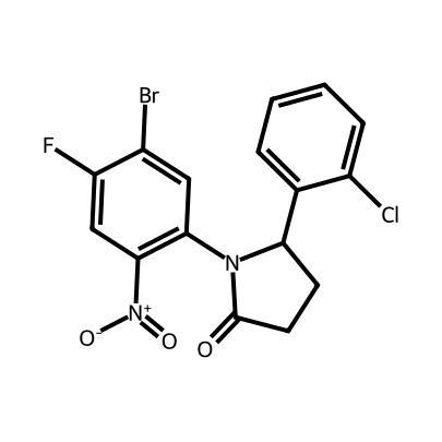 O=C1CCC(c2ccccc2Cl)N1c1cc(Br)c(F)cc1[N+](=O)[O-]